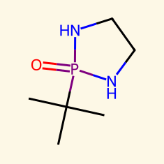 CC(C)(C)P1(=O)NCCN1